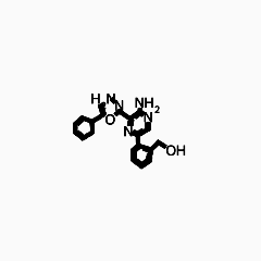 C=C(O/C(=N\N)c1nc(-c2ccccc2CO)cnc1N)C1C=CC=CC1